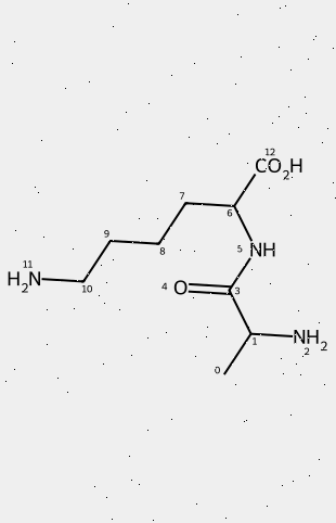 CC(N)C(=O)NC(CCCCN)C(=O)O